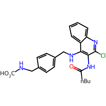 CCCCC(=O)Nc1c(Cl)nc2ccccc2c1NCc1ccc(CNC(=O)O)cc1